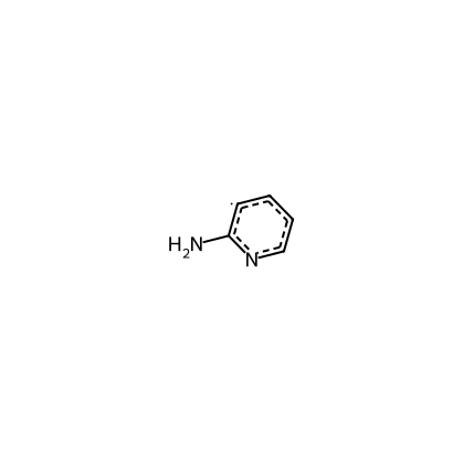 Nc1[c]cccn1